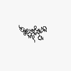 CCCOc1ncc(S(=O)(=O)N2CCN(CC)CC2)cc1-c1nc2c(-c3cccnc3)n(Cc3ncccn3)nc2c(=O)[nH]1